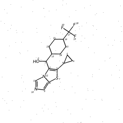 OC(c1c(C2CC2)sc2cncn12)C1CCC(C(F)(F)F)CC1